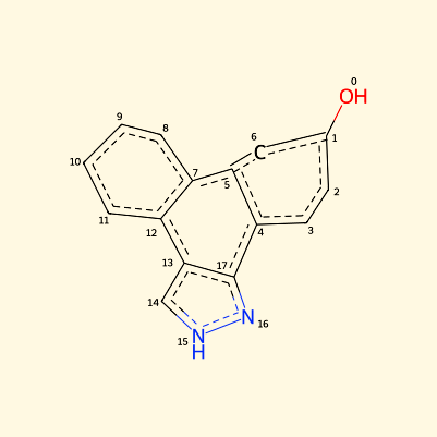 Oc1ccc2c(c1)c1ccccc1c1c[nH]nc21